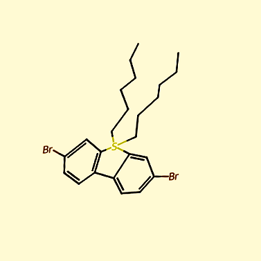 CCCCCCS1(CCCCCC)c2cc(Br)ccc2-c2ccc(Br)cc21